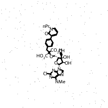 C#C[C@@]1(O)[C@@H](COC(Cc2ccc(-c3cccn(CCC)c3=O)cc2)(C(=O)O)C(=O)O)O[C@@H](n2cnc3c(NC)nc(Cl)nc32)[C@@H]1O